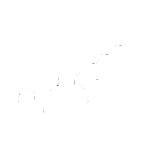 COc1ccccc1CCC(=O)Nc1sc2c(c1C#N)CCN(C(=O)OCCO)C2